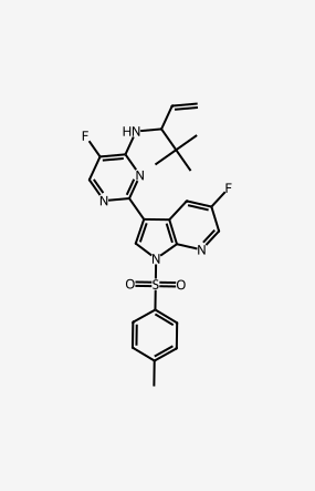 C=CC(Nc1nc(-c2cn(S(=O)(=O)c3ccc(C)cc3)c3ncc(F)cc23)ncc1F)C(C)(C)C